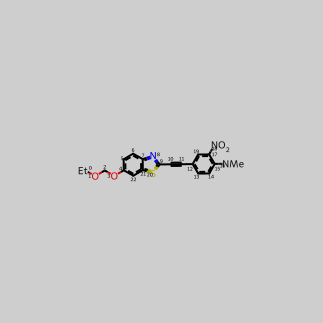 CCOCOc1ccc2nc(C#Cc3ccc(NC)c([N+](=O)[O-])c3)sc2c1